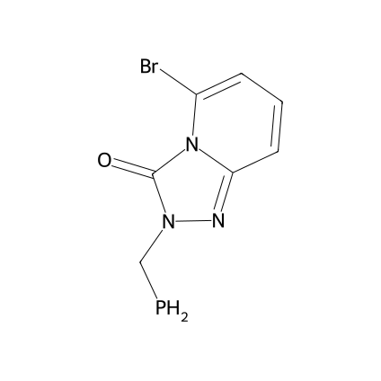 O=c1n(CP)nc2cccc(Br)n12